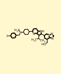 CC(C)c1c(-c2cc(CO)c3ncnn3c2)[nH]c2ccc(C3CCC(N(C)Cc4ccc(F)cc4)CC3)nc12